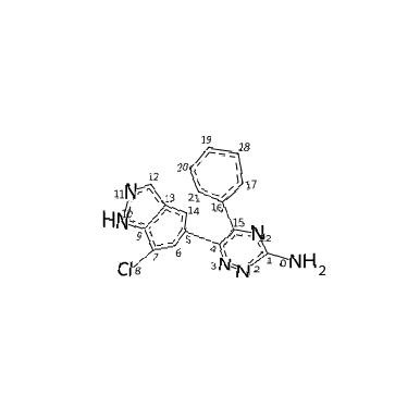 Nc1nnc(-c2cc(Cl)c3[nH]ncc3c2)c(-c2ccccc2)n1